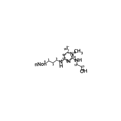 CCCCCCCCCCCCNc1cc[n+](C)c(NCCO)n1.[I-]